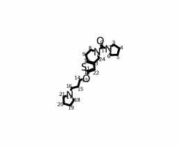 O=C(N1CCCC1)N1CCc2sc(OCCCN3CCCC3)cc2C1